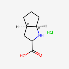 Cl.O=C(O)C1C[C@H]2CCC[C@H]2N1